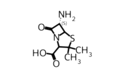 CC1(C)SC2[C@@H](N)C(=O)N2C1C(=O)O